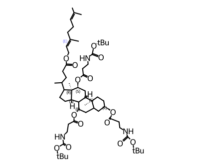 CC(C)=CCC/C(C)=C/COC(=O)CCC(C)C1CC[C@H]2C3[C@H](OC(=O)CCNC(=O)OC(C)(C)C)CC4C[C@H](OC(=O)CCNC(=O)OC(C)(C)C)CC[C@]4(C)[C@H]3C[C@H](OC(=O)CCNC(=O)OC(C)(C)C)[C@]12C